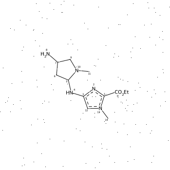 CCOC(=O)c1nc(NC2CC(N)CN2C)cn1C